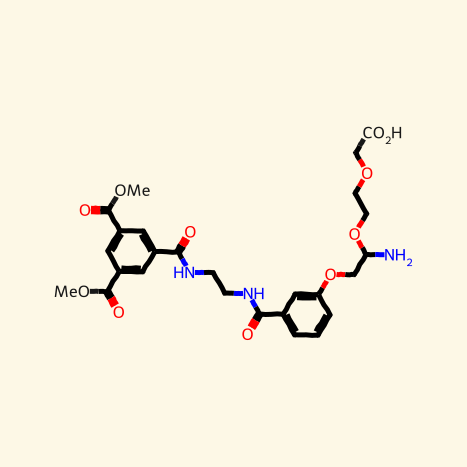 COC(=O)c1cc(C(=O)NCCNC(=O)c2cccc(OCC(N)OCCOCC(=O)O)c2)cc(C(=O)OC)c1